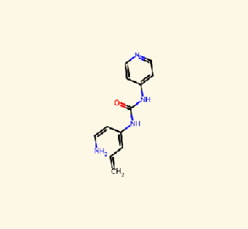 C=C/C=C(\C=C/N)NC(=O)Nc1ccncc1